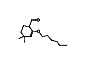 CCCCCCOC1=CC(C)(C)CCC1C=O